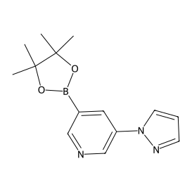 CC1(C)OB(c2cncc(-n3cccn3)c2)OC1(C)C